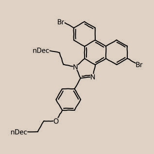 CCCCCCCCCCCCOc1ccc(-c2nc3c4cc(Br)ccc4c4ccc(Br)cc4c3n2CCCCCCCCCCCC)cc1